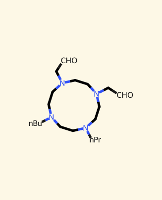 CCCCN1CCN(CC=O)CCN(CC=O)CCN(CCC)CC1